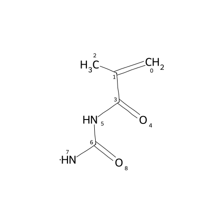 C=C(C)C(=O)NC([NH])=O